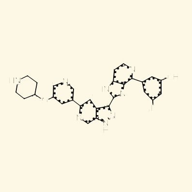 Cc1cc(F)cc(-c2nccc3[nH]c(-c4n[nH]c5cnc(-c6cncc(OC7CCNCC7)c6)cc45)nc23)c1